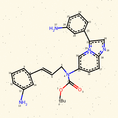 CC(C)(C)OC(=O)N(C/C=C/c1cccc(N)c1)c1ccc2ncc(-c3cccc(N)c3)n2c1